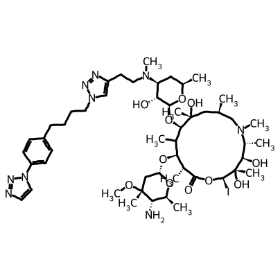 CO[C@]1(C)C[C@H](O[C@H]2C(C)[C@@H](O[C@@H]3O[C@H](C)C[C@H](N(C)CCc4cn(CCCCc5ccc(-n6ccnn6)cc5)nn4)[C@H]3O)[C@](C)(O)C[C@@H](C)CN(C)[C@H](C)[C@@H](O)[C@](C)(O)[C@@H](I)OC(=O)[C@@H]2C)O[C@@H](C)[C@@H]1N